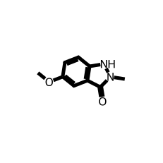 COc1ccc2[nH]n(C)c(=O)c2c1